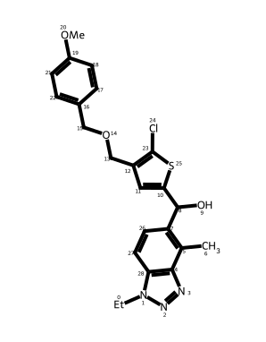 CCn1nnc2c(C)c(C(O)c3cc(COCc4ccc(OC)cc4)c(Cl)s3)ccc21